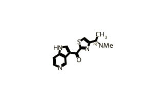 CN[C@@H](C)c1csc(C(=O)c2c[nH]c3ccncc23)n1